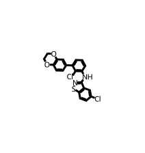 Clc1ccc2snc(Nc3cccc(-c4ccc5c(c4)OCCO5)c3Cl)c2c1